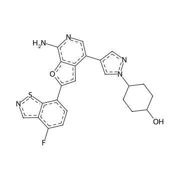 Nc1ncc(-c2cnn(C3CCC(O)CC3)c2)c2cc(-c3ccc(F)c4cnsc34)oc12